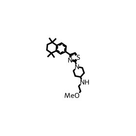 COCCNC1CCN(c2nc(-c3ccc4c(c3)C(C)(C)CCC4(C)C)cs2)CC1